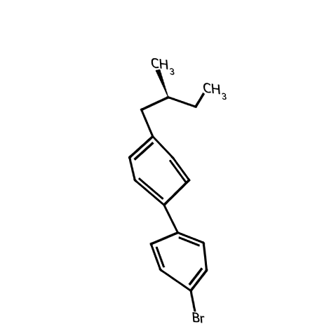 CC[C@H](C)Cc1ccc(-c2ccc(Br)cc2)cc1